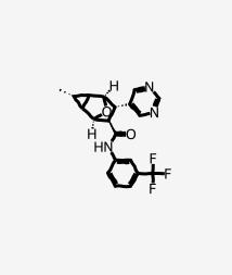 C[C@H]1C2C1[C@@H]1O[C@H]2[C@H](C(=O)Nc2cccc(C(F)(F)F)c2)[C@H]1c1cncnc1